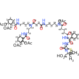 CC(=O)Oc1cccc(C(=O)NCCCCN(CCCNC(=O)c2cccc(OC(C)=O)c2OC(C)=O)C(=O)CCC(=O)NCCCCCN(OC(C)=O)C(=O)CCCC(=O)NC(C(=O)N[C@@H]2C(=O)N3C2SC(C)(C)[C@@H]3C(=O)O)c2ccccc2)c1OC(C)=O